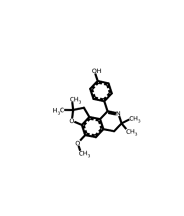 COc1cc2c(c3c1OC(C)(C)C3)C(c1ccc(O)cc1)=NC(C)(C)C2